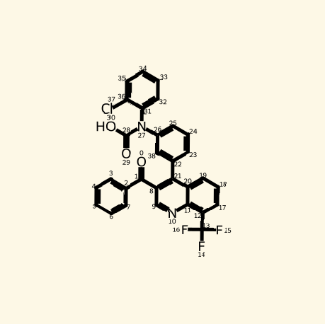 O=C(c1ccccc1)c1cnc2c(C(F)(F)F)cccc2c1-c1cccc(N(C(=O)O)c2ccccc2Cl)c1